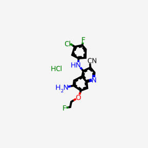 Cl.N#Cc1cnc2cc(OCCF)c(N)cc2c1Nc1ccc(F)c(Cl)c1